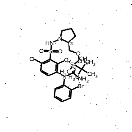 COC[C@@H]1CCCN1NS(=O)(=O)c1c(Cl)ccc(N(C(N)=S)c2ccccc2Br)c1O[Si](C)(C)C(C)(C)C